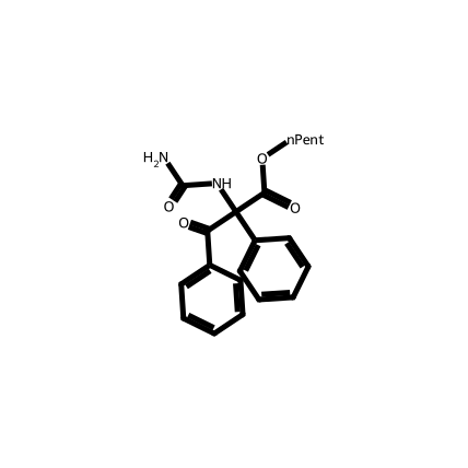 CCCCCOC(=O)C(NC(N)=O)(C(=O)c1ccccc1)c1ccccc1